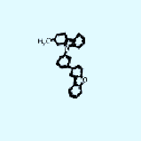 CC1C=Cc2c(n(-c3cccc(-c4ccc5oc6ccccc6c5c4)c3)c3ccccc23)C1